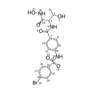 CC(O)C(NC(=O)c1ccc(NS(=O)(=O)c2ccc(Br)cc2)cc1)C(=O)NO